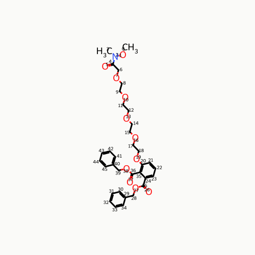 CON(C)C(=O)COCCOCCOCCOCCOc1cccc(C(=O)OCc2ccccc2)c1C(=O)OCc1ccccc1